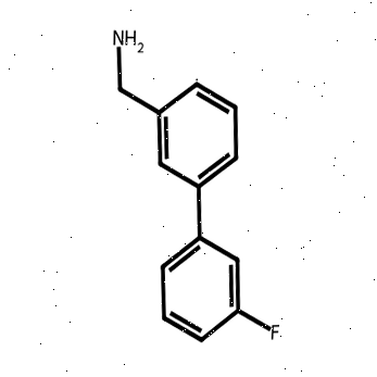 NCc1[c]ccc(-c2cccc(F)c2)c1